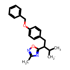 [CH2]C(C)C(Cc1ccc(OCc2ccccc2)cc1)c1nc(C)no1